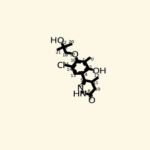 Cc1c(O)c(C2=NNC(=O)CC2C)cc(Cl)c1OCC(C)(C)O